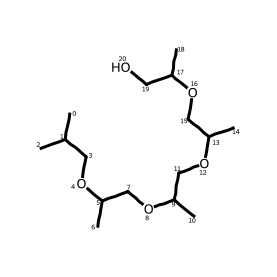 CC(C)COC(C)COC(C)COC(C)COC(C)CO